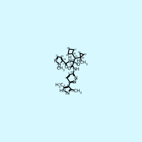 Cc1n[nH]c(C)c1-c1ccc(NC(=O)[C@](O)(NC(=O)c2ccnn2C)C(C2CCC2)C2(C)CC2)nn1